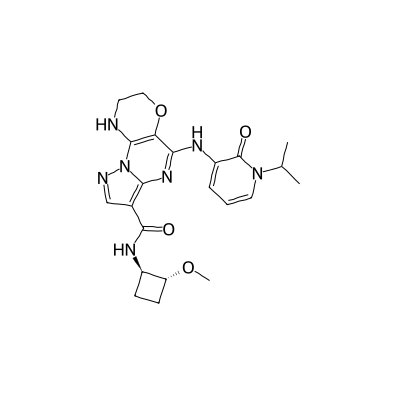 CO[C@@H]1CC[C@H]1NC(=O)c1cnn2c3c(c(Nc4cccn(C(C)C)c4=O)nc12)OCCN3